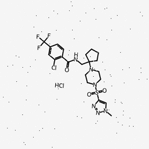 Cl.Cn1cc(S(=O)(=O)N2CCN(C3(CNC(=O)c4ccc(C(F)(F)F)cc4Cl)CCCC3)CC2)nn1